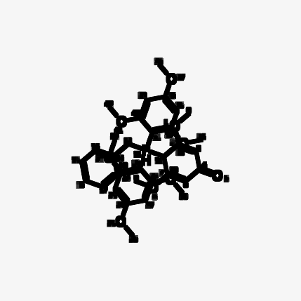 COC1=CC(=O)C=C(OC)C1[PH](Cc1ccccc1)(c1c(OC)cc(OC)cc1OC)c1c(OC)cc(OC)cc1OC